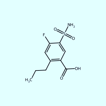 CCCc1cc(F)c(S(N)(=O)=O)cc1C(=O)O